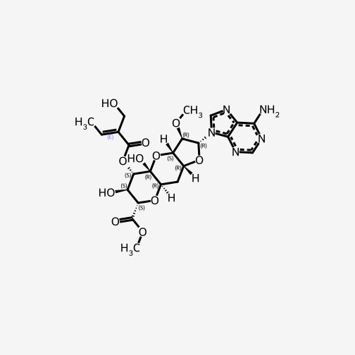 C/C=C(\CO)C(=O)O[C@H]1[C@H](O)[C@@H](C(=O)OC)O[C@@H]2C[C@H]3O[C@@H](n4cnc5c(N)ncnc54)[C@H](OC)[C@H]3O[C@]21O